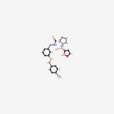 O=C(NCc1cccc(OCc2ccc(C(F)(F)F)cc2)c1)[C@@H]1CCCN1[S+]([O-])c1ccco1